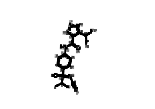 CC(C)S(=O)(=NC#N)c1ccc(NC(=O)c2snnc2C(F)F)cc1